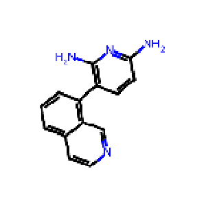 Nc1ccc(-c2cccc3ccncc23)c(N)n1